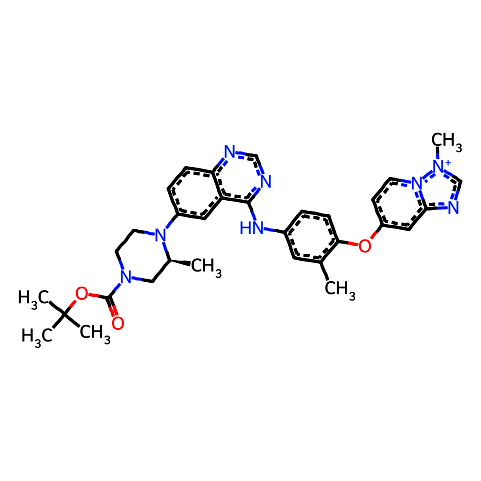 Cc1cc(Nc2ncnc3ccc(N4CCN(C(=O)OC(C)(C)C)C[C@@H]4C)cc23)ccc1Oc1ccn2c(c1)nc[n+]2C